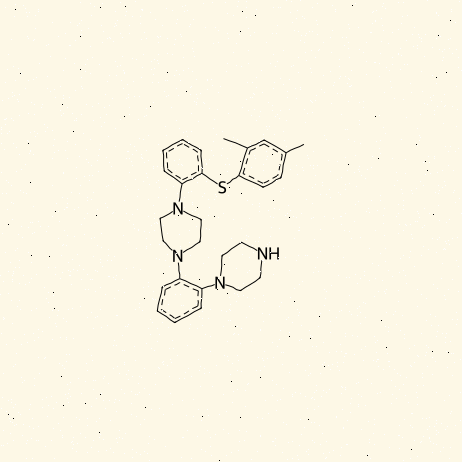 Cc1ccc(Sc2ccccc2N2CCN(c3ccccc3N3CCNCC3)CC2)c(C)c1